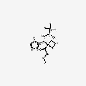 CCOC(=O)C1([C@@H](N[S@+]([O-])C(C)(C)C)c2cccs2)CCC1